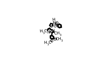 COc1ccc(-c2c(C)nc3c(N4CCC(NS(=O)(=O)c5ccccc5)C4)cc(C)nn23)cc1OC